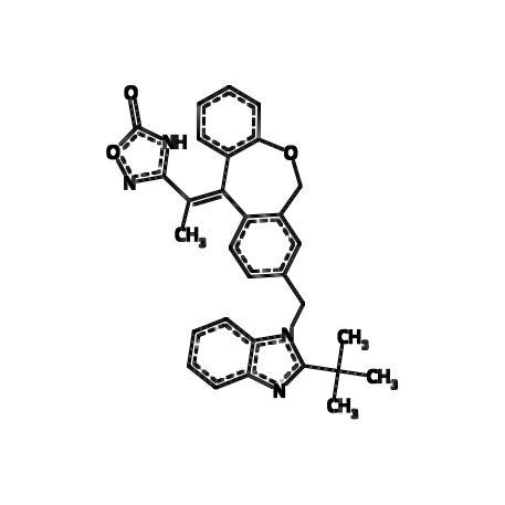 C/C(=C1\c2ccc(Cn3c(C(C)(C)C)nc4ccccc43)cc2COc2ccccc21)c1noc(=O)[nH]1